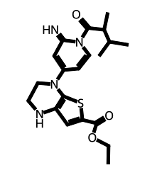 CCOC(=O)c1cc2c(s1)N(c1ccn(C(=O)C(C)C(C)C)c(=N)c1)CCN2